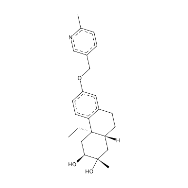 CC[C@@]12C[C@H](O)[C@@](C)(O)C[C@H]1CCc1cc(OCc3ccc(C)nc3)ccc12